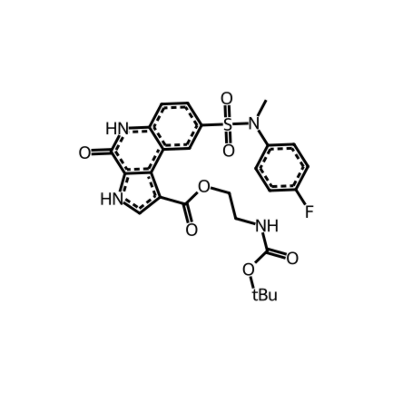 CN(c1ccc(F)cc1)S(=O)(=O)c1ccc2[nH]c(=O)c3[nH]cc(C(=O)OCCNC(=O)OC(C)(C)C)c3c2c1